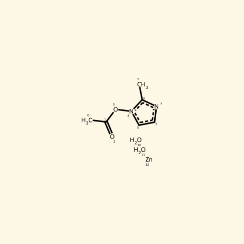 CC(=O)On1ccnc1C.O.O.[Zn]